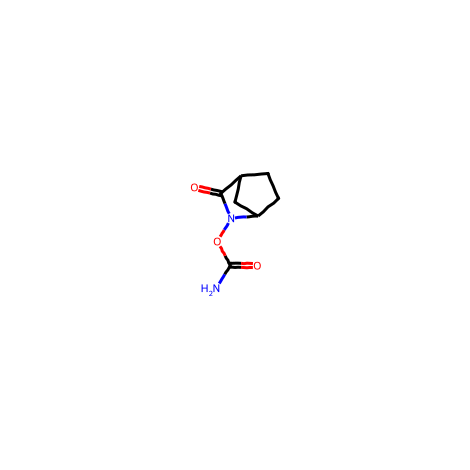 NC(=O)ON1C(=O)C2CCC1C2